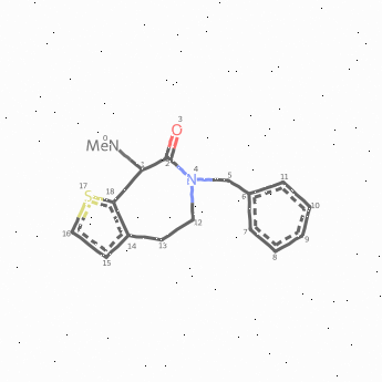 CNC1C(=O)N(Cc2ccccc2)CCc2ccsc21